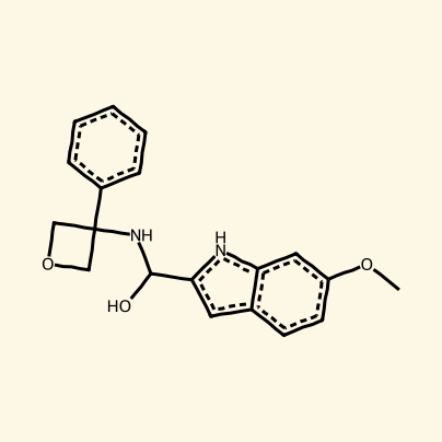 COc1ccc2cc(C(O)NC3(c4ccccc4)COC3)[nH]c2c1